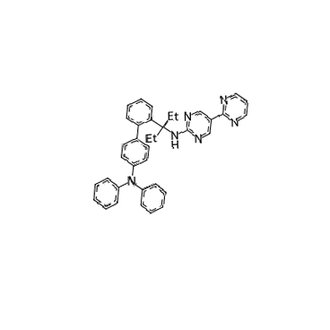 CCC(CC)(Nc1ncc(-c2ncccn2)cn1)c1ccccc1-c1ccc(N(c2ccccc2)c2ccccc2)cc1